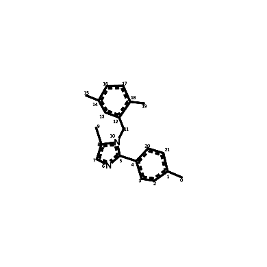 Cc1ccc(-c2ncc(C)n2Cc2cc(C)ccc2C)cc1